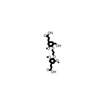 COc1cc(/C=C/C(=O)O)cc(CO)c1OCCCOc1c(OC)cc(/C=C/C(=O)O)cc1OC